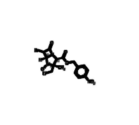 C[C@]1(CCl)[C@H](C(=O)OCc2ccc([N+](=O)[O-])cc2)N2C(=O)C(Br)[C@H]2[S+]1[O-]